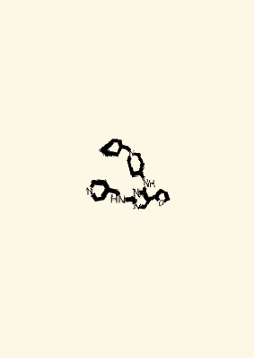 c1ccc(CN2CCC(Nc3nc(NCc4ccncc4)ncc3-c3ccco3)CC2)cc1